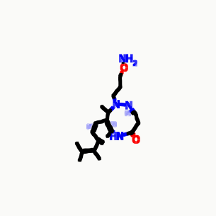 C=C(/C=C\C1=C(/C)NC(=O)C/C=N\N(CCCON)C1C)C(C)=C(C)C